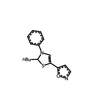 CCCCC1SC(c2ccno2)=[C]N1c1ccccc1